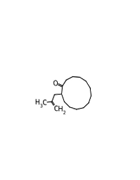 C=C(C)CC1CCCCCCCCCCCC1=O